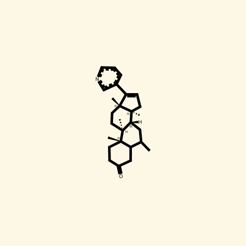 CC1C[C@@H]2[C@](C)(CC[C@]3(C)C(c4cccnc4)=CC[C@@]23C)[C@@]2(C)CCC(=O)CC12